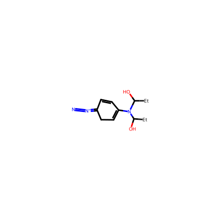 CCC(O)N(C1=CCC(=[N+]=[N-])C=C1)C(O)CC